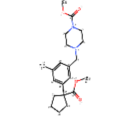 CC(C)(C)OC(=O)N1CCN(Cc2cc(C(F)(F)F)cc(C3(C(=O)OC(C)(C)C)CCCC3)c2)CC1